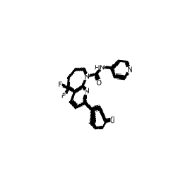 O=C(Nc1ccncc1)N1CCCC(F)(F)c2ccc(-c3cccc(Cl)c3)nc21